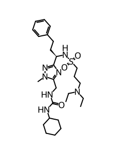 CCN(CC)CCCS(=O)(=O)N[C@H](CCc1ccccc1)c1nc(CNC(=O)NC2CCCCC2)n(C)n1